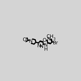 Cn1cc(Br)cc(Nc2ccc(C3CCN(C4COC4)CC3)nn2)c1=O